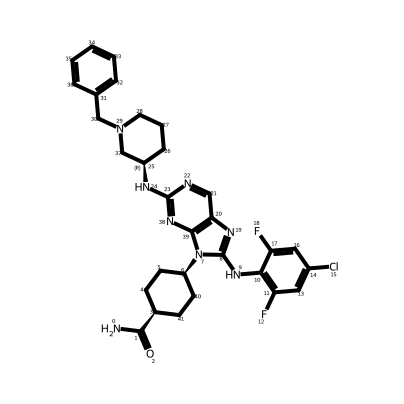 NC(=O)[C@H]1CC[C@@H](n2c(Nc3c(F)cc(Cl)cc3F)nc3cnc(N[C@@H]4CCCN(Cc5ccccc5)C4)nc32)CC1